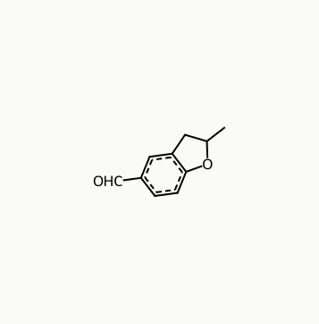 CC1Cc2cc(C=O)ccc2O1